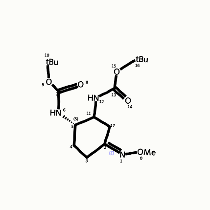 CO/N=C1/CC[C@H](NC(=O)OC(C)(C)C)C(NC(=O)OC(C)(C)C)C1